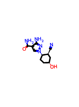 N#C[C@H]1C[C@H](O)CC[C@@H]1n1cc(C(N)=O)c(N)n1